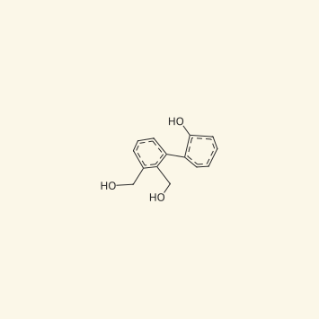 OCc1cccc(-c2ccccc2O)c1CO